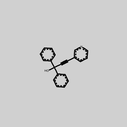 OC(C#Cc1cccnc1)(c1ccccc1)c1ccccc1